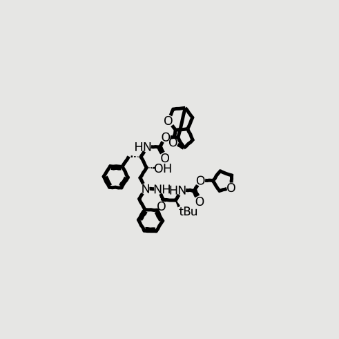 CC(C)(C)[C@H](NC(=O)OC1CCOC1)C(=O)NN(Cc1ccccc1)C[C@@H](O)[C@H](Cc1ccccc1)NC(=O)OC1C2COC3OC1CC3C2